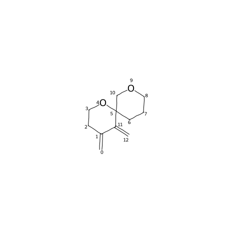 C=C1CCOC2(CCCOC2)C1=C